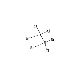 Cl[Si](Cl)(Br)[Si](Cl)(Br)Br